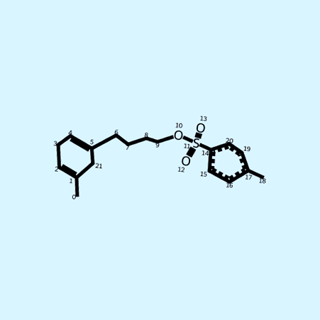 CC1=CCC=C(CCCCOS(=O)(=O)c2ccc(C)cc2)C1